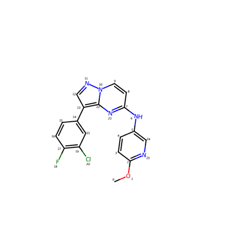 COc1ccc(Nc2ccn3ncc(-c4ccc(F)c(Cl)c4)c3n2)cn1